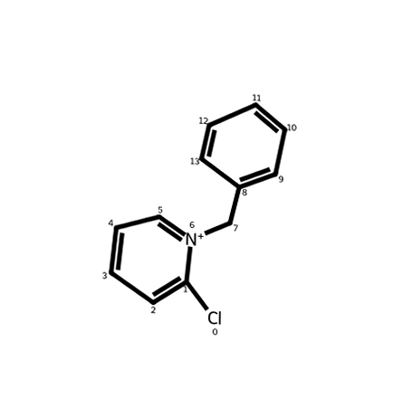 Clc1cccc[n+]1Cc1ccccc1